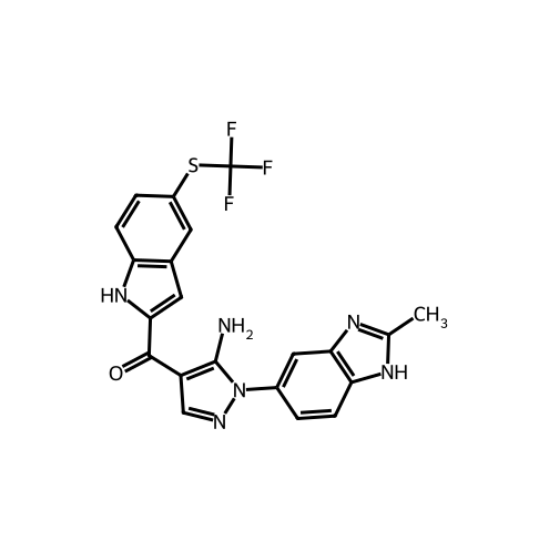 Cc1nc2cc(-n3ncc(C(=O)c4cc5cc(SC(F)(F)F)ccc5[nH]4)c3N)ccc2[nH]1